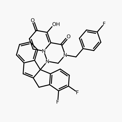 O=C1c2c(O)c(=O)ccn2N(C23C(=Cc4ccccc42)Cc2c3ccc(F)c2F)CN1Cc1ccc(F)cc1